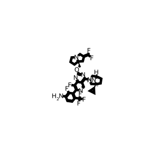 Nc1ccc(C(F)(F)F)c(-c2ncc3c(N4C[C@@H]5CC[C@](C6CC6)(C4)N5)nc(OC[C@@]45CCCN4CC(=C(F)F)C5)nc3c2F)c1F